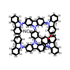 N#Cc1cc(-c2cc(-n3c4cc(-n5c6ccccc6c6ccccc65)ccc4c4ccc(-n5c6ccccc6c6ccccc65)cc43)c(C#N)cc2-n2c3cc(-n4c5ccccc5c5ccccc54)ccc3c3ccc(-n4c5ccccc5c5ccccc54)cc32)cc(C(F)(F)F)c1